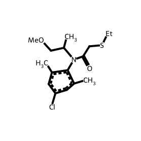 CCSCC(=O)N(c1c(C)cc(Cl)cc1C)C(C)COC